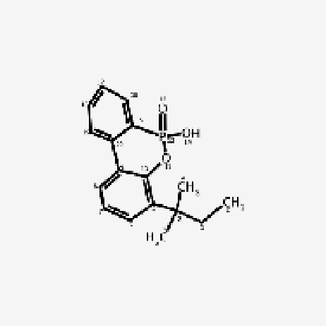 CCC(C)(C)c1cccc2c1OP(=O)(O)c1ccccc1-2